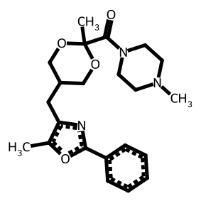 Cc1oc(-c2ccccc2)nc1CC1COC(C)(C(=O)N2CCN(C)CC2)OC1